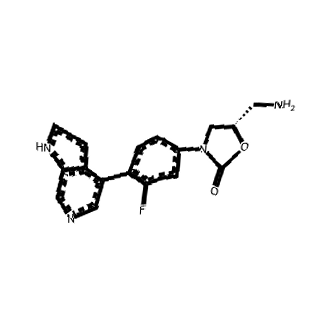 NC[C@H]1CN(c2ccc(-c3cncc4[nH]ccc34)c(F)c2)C(=O)O1